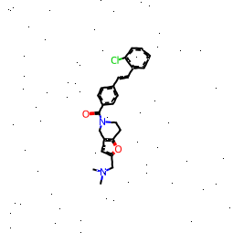 CN(C)Cc1cc2c(o1)CCN(C(=O)c1ccc(C=Cc3ccccc3Cl)cc1)C2